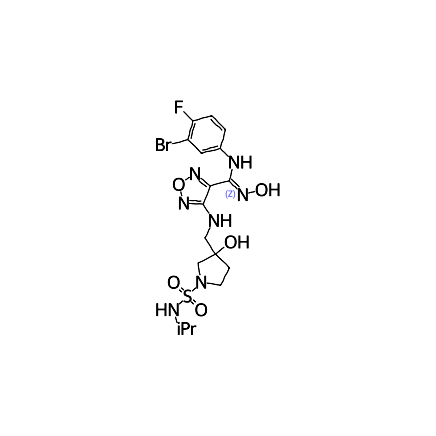 CC(C)NS(=O)(=O)N1CCC(O)(CNc2nonc2/C(=N/O)Nc2ccc(F)c(Br)c2)C1